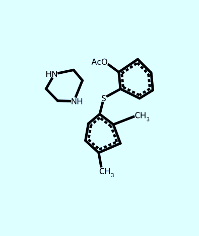 C1CNCCN1.CC(=O)Oc1ccccc1Sc1ccc(C)cc1C